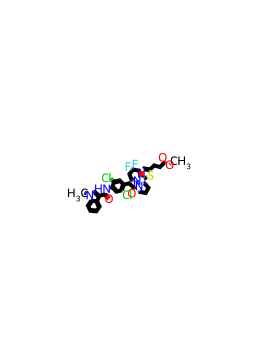 COC(=O)CCc1cnc([C@@H]2CCC[N+]2(C(=O)Cc2cc(Cl)c(NC(=O)c3cn(C)c4ccccc34)cc2Cl)N2CCC(F)(F)CC2)s1